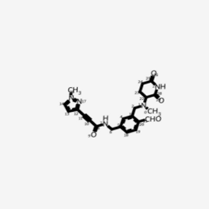 CN(Cc1cc(CNC(=O)C#Cc2ccn(C)n2)ccc1C=O)C1CCC(=O)NC1=O